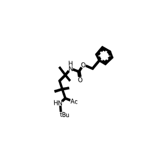 CC(=O)C(NC(C)(C)C)C(C)(C)CC(C)(C)NC(=O)OCc1ccccc1